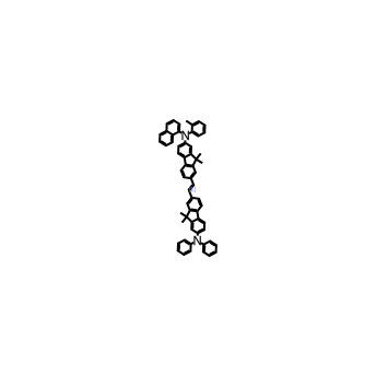 Cc1ccccc1N(c1ccc2c(c1)C(C)(C)c1cc(/C=C/c3ccc4c(c3)C(C)(C)c3cc(N(c5ccccc5)c5ccccc5)ccc3-4)ccc1-2)c1cccc2ccccc12